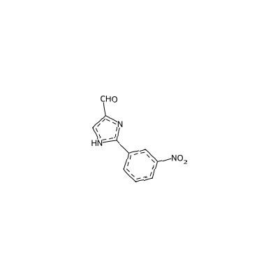 O=Cc1c[nH]c(-c2cccc([N+](=O)[O-])c2)n1